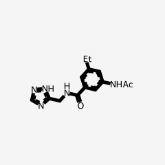 CCc1cc(NC(C)=O)cc(C(=O)NCc2ncn[nH]2)c1